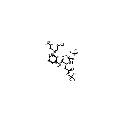 CN(C(=O)C(CC(=O)OC(C)(C)C)NC(=O)OC(C)(C)C)c1cccc(N(CCCl)CCCl)c1